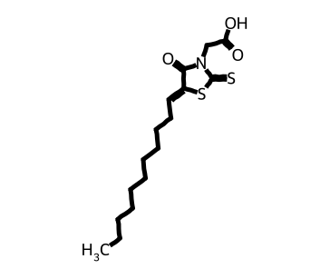 CCCCCCCCCCC=C1SC(=S)N(CC(=O)O)C1=O